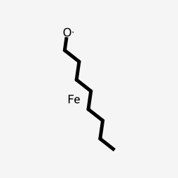 CCCCCCCC[O].[Fe]